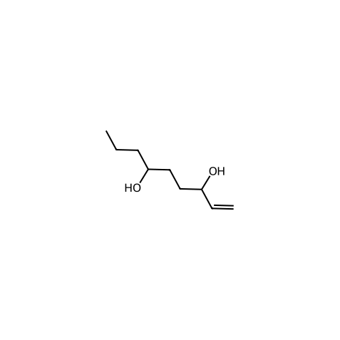 C=CC(O)CCC(O)CCC